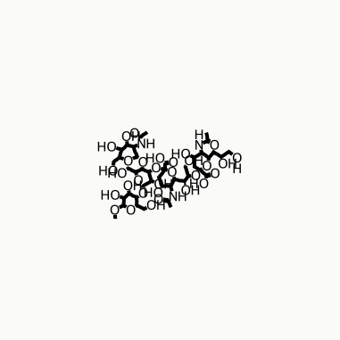 COC1OC(CO)C(OC2OC(CO)C(OC3OC(CO)C(O)C(O)C3NC(C)=O)C(OC3(C(=O)O)CC(O)C(NC(C)=O)C([C@H](O)C(CO)OC4(C(=O)O)CC(O)C(NC(C)=O)C(C[C@H](O)CO)O4)O3)C2O)C(O)C1O